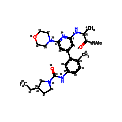 CNC(=O)[C@H](C)Nc1cc(-c2cc(NC(=O)N3CC[C@@H](CC(F)(F)F)C3)ccc2C)cc(N2CCOCC2)n1